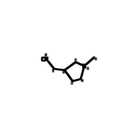 [C-]#[N+]CC1CCN(C)C1